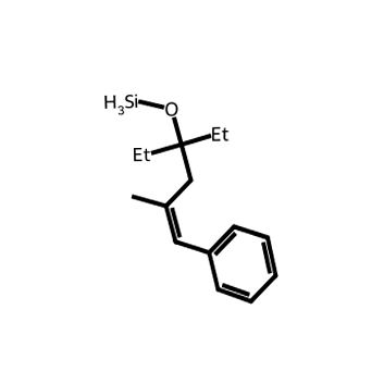 CCC(CC)(CC(C)=Cc1ccccc1)O[SiH3]